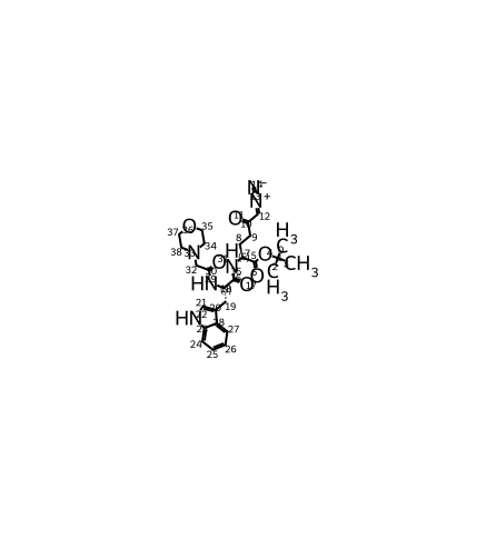 CC(C)(C)OC(=O)[C@H](CCC(=O)C=[N+]=[N-])NC(=O)[C@H](Cc1c[nH]c2ccccc12)NC(=O)CN1CCOCC1